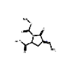 COC(=O)C1C/C(=C\N)C(=O)N1C(=O)OC(C)(C)C